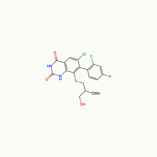 COC(CO)CSc1c(-c2ccc(F)cc2F)c(Cl)cc2c(=O)[nH]c(=O)[nH]c12